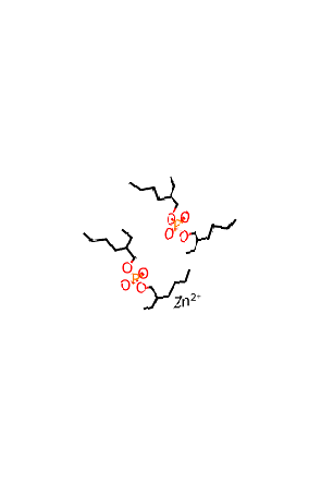 CCCCC(CC)COP(=O)([O-])OCC(CC)CCCC.CCCCC(CC)COP(=O)([O-])OCC(CC)CCCC.[Zn+2]